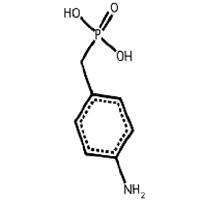 Nc1ccc(CP(=O)(O)O)cc1